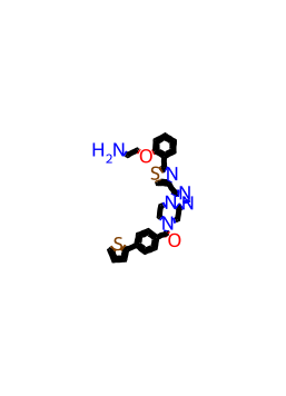 NCCOc1ccccc1-c1nc(-c2nnc3n2CCN(C(=O)c2ccc(-c4cccs4)cc2)C3)cs1